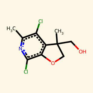 Cc1nc(Cl)c2c(c1Cl)C(C)(CO)CO2